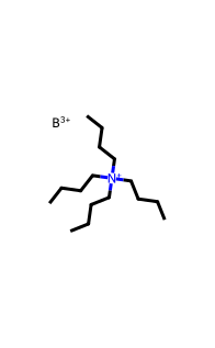 CCCC[N+](CCCC)(CCCC)CCCC.[B+3]